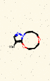 CC(C)(C)c1cnn2c1OCCCOCCC2